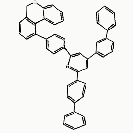 c1ccc(-c2ccc(-c3cc(-c4cccc(-c5ccccc5)c4)cc(-c4ccc(-c5cccc6c5-c5ccccc5OC6)cc4)n3)cc2)cc1